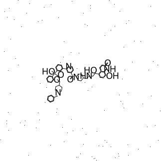 O=C(c1ccnc(-c2cccc([C@](O)(C(=O)OCC3CCN(Cc4ccccc4)CC3)c3ccccc3)c2)c1)N1CCC(CNC[C@H](O)c2ccc(O)c3[nH]c(=O)ccc23)CC1